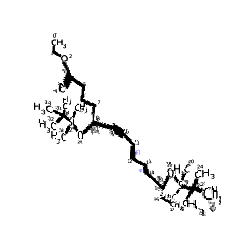 CCOC(=O)CCC[C@@H](C#C/C=C/C=C/[C@@H](CC)O[Si](C)(C)C(C)(C)C)O[Si](C)(C)C(C)(C)C